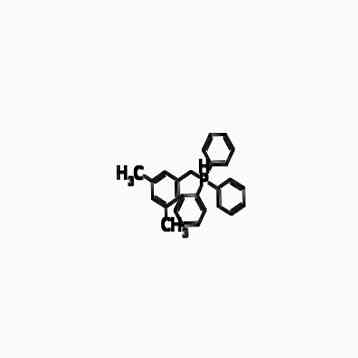 Cc1cc(C)cc(C[PH](c2ccccc2)(c2ccccc2)c2ccccc2)c1